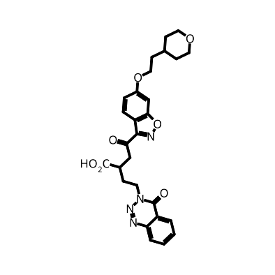 O=C(CC(CCn1nnc2ccccc2c1=O)C(=O)O)c1noc2cc(OCCC3CCOCC3)ccc12